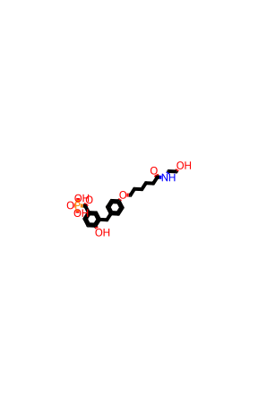 O=C(CCCCCOc1ccc(Cc2cc(C(=O)P(=O)(O)O)ccc2O)cc1)NCCO